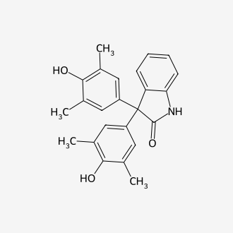 Cc1cc(C2(c3cc(C)c(O)c(C)c3)C(=O)Nc3ccccc32)cc(C)c1O